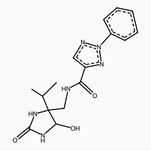 CC(C)C1(CNC(=O)c2cnn(-c3ccccc3)n2)NC(=O)NC1O